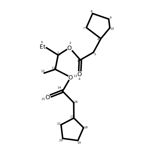 CC[C](OC(=O)CC1CCCC1)C(C)OC(=O)CC1CCCC1